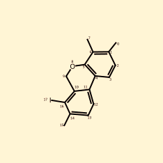 Cc1ccc2c(c1C)OCc1c-2ccc(C)c1I